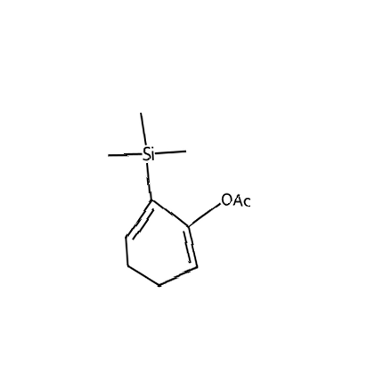 CC(=O)OC1=CCCC=C1[Si](C)(C)C